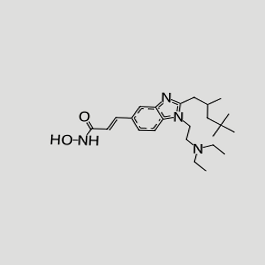 CCN(CC)CCn1c(CC(C)CC(C)(C)C)nc2cc(/C=C/C(=O)NO)ccc21